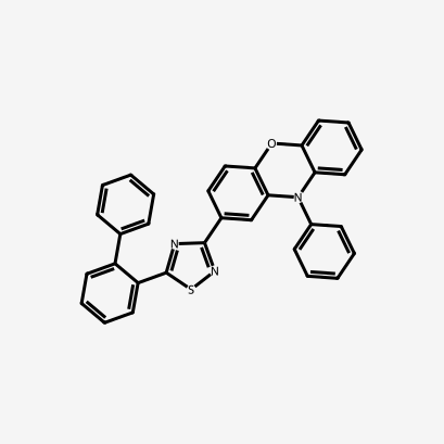 c1ccc(-c2ccccc2-c2nc(-c3ccc4c(c3)N(c3ccccc3)c3ccccc3O4)ns2)cc1